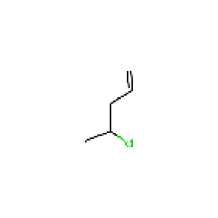 C=CCC(C)Cl